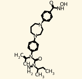 C=C(C)N(C(=O)N(N)C(C)CC)c1ccc(N2CCCN(c3ccc(C(=O)NO)cc3)CC2)cc1